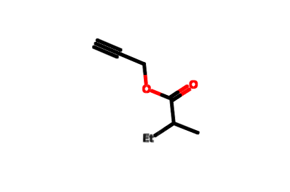 C#CCOC(=O)C(C)CC